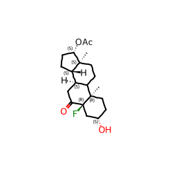 CC(=O)O[C@H]1CC[C@H]2[C@@H]3CC(=O)[C@@]4(F)C[C@@H](O)CC[C@]4(C)C3CC[C@]12C